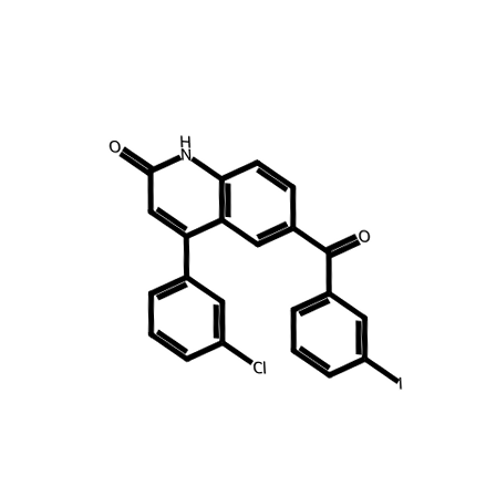 O=C(c1cccc(I)c1)c1ccc2[nH]c(=O)cc(-c3cccc(Cl)c3)c2c1